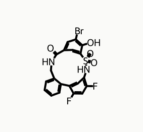 O=C1NCc2ccccc2-c2cc(c(F)cc2F)NS(=O)(=O)c2cc1cc(Br)c2O